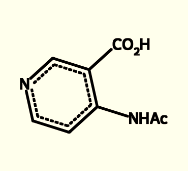 CC(=O)Nc1ccncc1C(=O)O